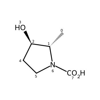 C[C@H]1[C@H](O)CCN1C(=O)O